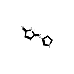 C1=CSCC1.O=C1C=CC(=O)N1